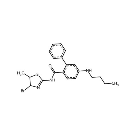 CCCCNc1ccc(C(=O)NC2=NC(Br)C(C)S2)c(-c2ccccc2)c1